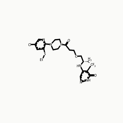 CCSc1cc(Cl)cnc1N1CCN(C(=O)CCOC[C@H](C)Nc2cn[nH]c(=O)c2C(F)(F)F)CC1